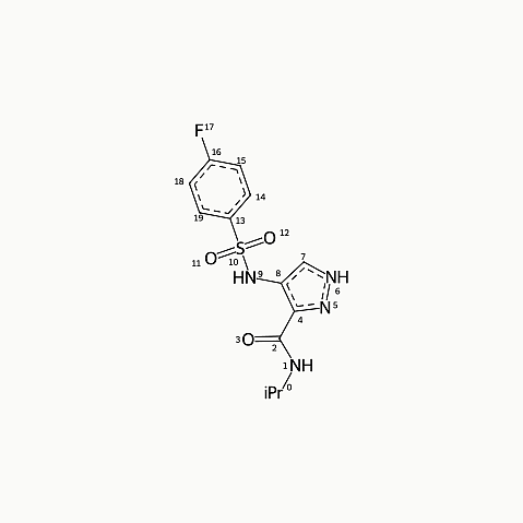 CC(C)NC(=O)c1n[nH]cc1NS(=O)(=O)c1ccc(F)cc1